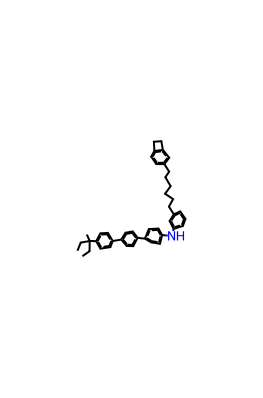 CCC(C)(CC)c1ccc(-c2ccc(-c3ccc(Nc4cccc(CCCCCCc5ccc6c(c5)CC6)c4)cc3)cc2)cc1